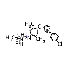 CCC(C)(C)N/C=N/c1cc(C)c(Oc2ccn(-c3ccc(Cl)cc3)n2)cc1C